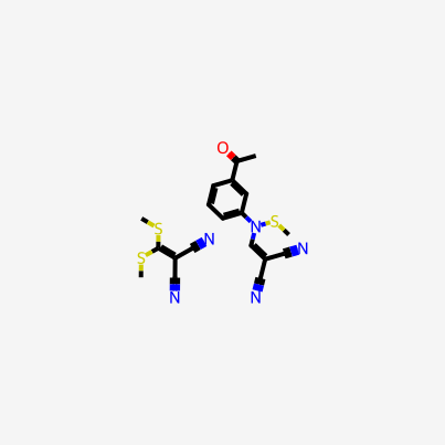 CSC(SC)=C(C#N)C#N.CSN(C=C(C#N)C#N)c1cccc(C(C)=O)c1